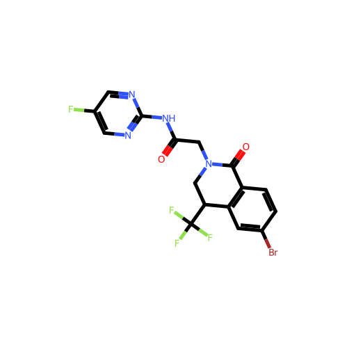 O=C(CN1CC(C(F)(F)F)c2cc(Br)ccc2C1=O)Nc1ncc(F)cn1